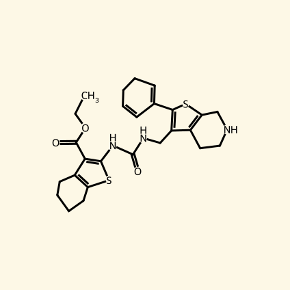 CCOC(=O)c1c(NC(=O)NCc2c(C3=CCCC=C3)sc3c2CCNC3)sc2c1CCCC2